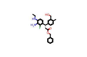 CCNc1ccc([C@@H](CC(=O)OCc2ccccc2)c2ccc(C)c(CO)c2)c(F)c1N